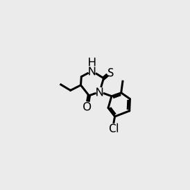 CCC1CNC(=S)N(c2cc(Cl)ccc2C)C1=O